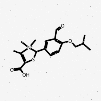 CC1=C(C(=O)O)SC(c2ccc(OCC(C)C)c(C=O)c2)[N+]1(C)C